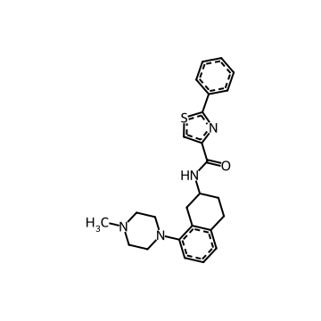 CN1CCN(c2cccc3c2CC(NC(=O)c2csc(-c4ccccc4)n2)CC3)CC1